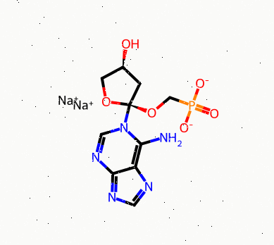 Nc1c2ncnc-2ncn1[C@@]1(OCP(=O)([O-])[O-])C[C@H](O)CO1.[Na+].[Na+]